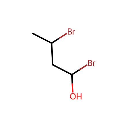 CC(Br)CC(O)Br